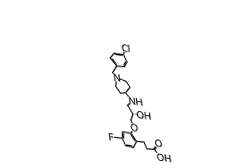 O=C(O)CCc1ccc(F)cc1OC[C@@H](O)CNC1CCN(Cc2ccc(Cl)cc2)CC1